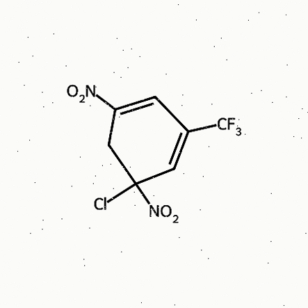 O=[N+]([O-])C1=CC(C(F)(F)F)=CC(Cl)([N+](=O)[O-])C1